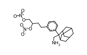 NCC1(c2cccc(CCC(CO[N+](=O)[O-])O[N+](=O)[O-])c2)C2CC3CC(C2)CC1C3